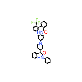 O=C(Nc1ccc(N2CCC(C(C(=O)Nc3ccccc3)c3ccccc3)CC2)cc1)c1ccccc1-c1ccccc1C(F)(F)F